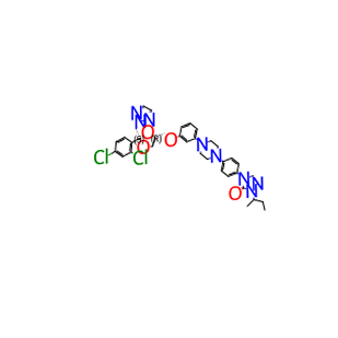 CCC(C)n1ncn(-c2ccc(N3CCN(c4cccc(OC[C@@H]5CO[C@@](Cn6nccn6)(c6ccc(Cl)cc6Cl)O5)c4)CC3)cc2)c1=O